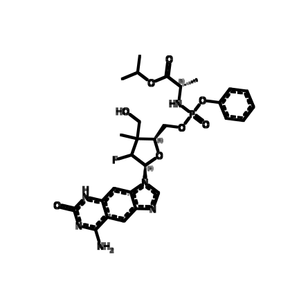 CC(C)OC(=O)[C@H](C)NP(=O)(OC[C@H]1O[C@@H](n2cnc3cc4c(N)nc(=O)[nH]c4cc32)C(F)C1(C)CO)Oc1ccccc1